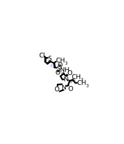 CC[C@H](C)[C@@H](C(=O)N1CCOCC1)N1CC[C@H](NS(=O)(=O)/C=C(\C)c2ccc(Cl)s2)C1=O